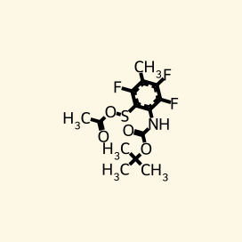 CC(=O)OSc1c(F)c(C)c(F)c(F)c1NC(=O)OC(C)(C)C